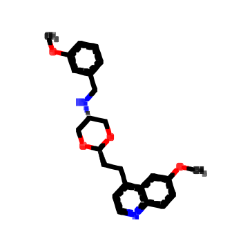 COc1cccc(CN[C@H]2CO[C@H](CCc3ccnc4ccc(OC)cc34)OC2)c1